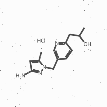 Cc1cc(N)nn1Cc1ccc(CC(C)O)nc1.Cl